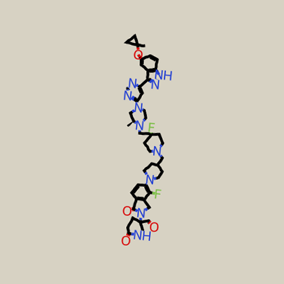 C[C@H]1CN(c2cc(-c3n[nH]c4ccc(OC5(C)CC5)cc34)ncn2)CCN1CC1(F)CCN(CC2CCN(c3ccc4c(c3F)CN(C3(C=O)CCC(=O)NC3)C4=O)CC2)CC1